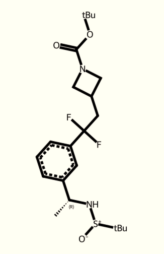 C[C@@H](N[S+]([O-])C(C)(C)C)c1cccc(C(F)(F)CC2CN(C(=O)OC(C)(C)C)C2)c1